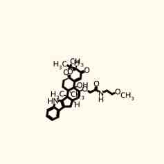 COCCNC(=O)CO[C@H]1C[C@H]2Cc3c([nH]c4ccccc34)[C@]2(C)[C@@]2(C)CC[C@@]34O[C@@H](C(=O)C=C3[C@]12O)C(C)(C)O4